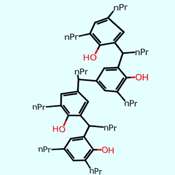 CCCc1cc(CCC)c(O)c(C(CCC)c2cc(C(CCC)c3cc(CCC)c(O)c(C(CCC)c4cc(CCC)cc(CCC)c4O)c3)cc(CCC)c2O)c1